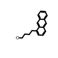 [O]CCCCc1cccc2cc3ccccc3cc12